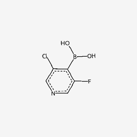 OB(O)c1c(F)cncc1Cl